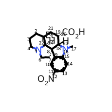 CC[C@]12CCCN3CC[C@]4(c5cc([N+](=O)[O-])ccc5N(C)[C@H]4[C@@H](C(=O)O)C1)[C@@H]32